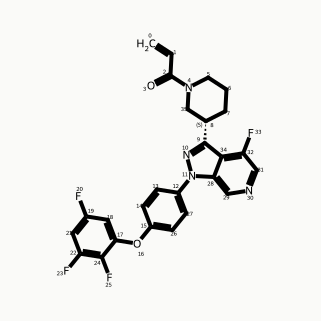 C=CC(=O)N1CCC[C@H](c2nn(-c3ccc(Oc4cc(F)cc(F)c4F)cc3)c3cncc(F)c23)C1